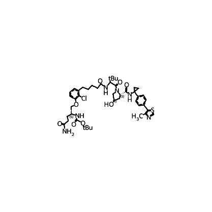 Cc1ncsc1-c1ccc(C2(NC(=O)[C@@H]3C[C@@H](O)CN3C(=O)C(NC(=O)CCCCc3cccc(OC[C@H](CCC(N)=O)NC(=O)OC(C)(C)C)c3Cl)C(C)(C)C)CC2)cc1